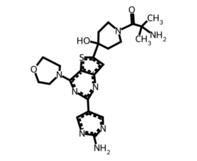 CC(C)(N)C(=O)N1CCC(O)(c2cc3nc(-c4cnc(N)nc4)nc(N4CCOCC4)c3s2)CC1